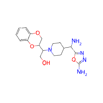 Nc1nnc(C(N)C2CCN(C(CO)C3COc4ccccc4O3)CC2)o1